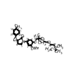 COc1cc(N2CCC(Oc3ccc(C)cc3)C2=O)ccc1OCC(C)(C)OCOCC[Si](C)(C)C